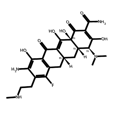 CNCCc1c(N)c(O)c2c(c1F)C[C@H]1C[C@H]3[C@H](N(C)C)C(O)=C(C(N)=O)C(=O)[C@@]3(O)C(O)=C1C2=O